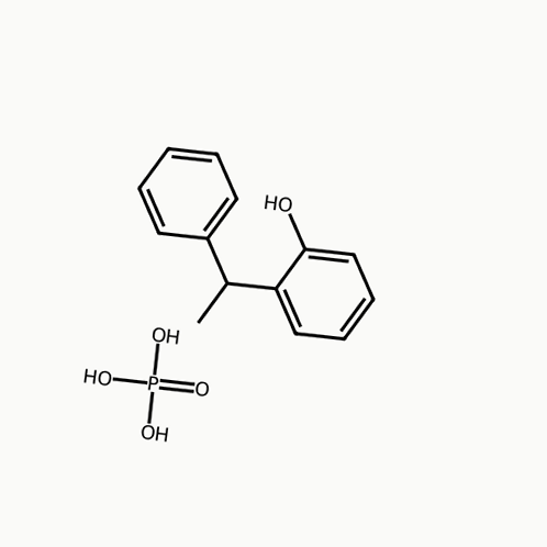 CC(c1ccccc1)c1ccccc1O.O=P(O)(O)O